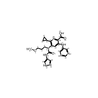 COCCCN(C(=O)Nc1cn[nH]c1)c1cc(Nc2cncnc2)c(C(=O)O)nc1C1CC1